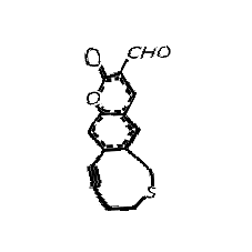 O=Cc1cc2cc3c(cc2oc1=O)C#CCCSC3